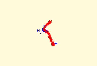 CCCCc1nc2c(N)nc3cc(C4CCN(CCOCCOCCOCCOCCOC)CC4)sc3c2n1CC1CCN(CCOCCOCCOCCOCCOCCOCCOCCOCCNC(=O)OC(C)(C)C)CC1